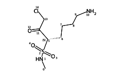 CNS(=O)(=O)[C@@H](CCCCN)C(=O)CCl